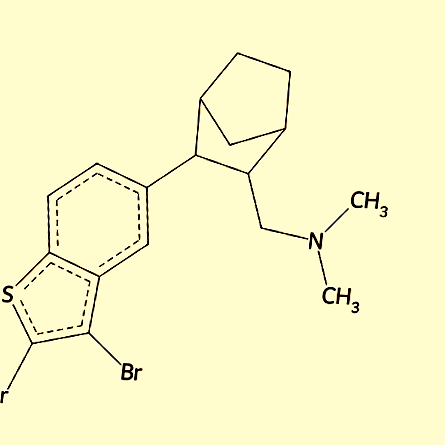 CN(C)CC1C2CCC(C2)C1c1ccc2sc(Br)c(Br)c2c1